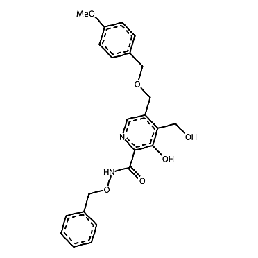 COc1ccc(COCc2cnc(C(=O)NOCc3ccccc3)c(O)c2CO)cc1